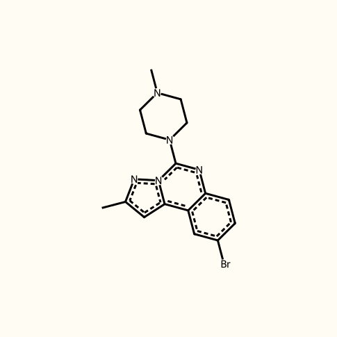 Cc1cc2c3cc(Br)ccc3nc(N3CCN(C)CC3)n2n1